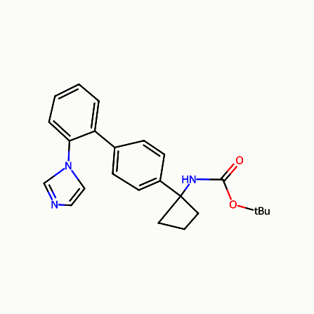 CC(C)(C)OC(=O)NC1(c2ccc(-c3ccccc3-n3ccnc3)cc2)CCC1